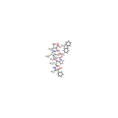 CC[C@H](C)[C@@H]([C@@H](CC(=O)N1CCC[C@H]1[C@H](OC)[C@@H](C)C(=O)N[C@H](C)[C@@H](O)c1ccccc1)OC)N(C)C(=O)[C@@H](C(=O)OCC1c2ccccc2-c2ccccc21)C(C)C